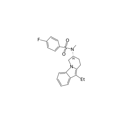 CCc1c2n(c3ccccc13)C[C@H](N(C)S(=O)(=O)c1ccc(F)cc1)CC2